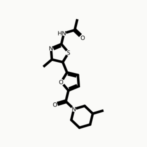 CC(=O)NC1=NC(C)C(c2ccc(C(=O)N3CCCC(C)C3)o2)S1